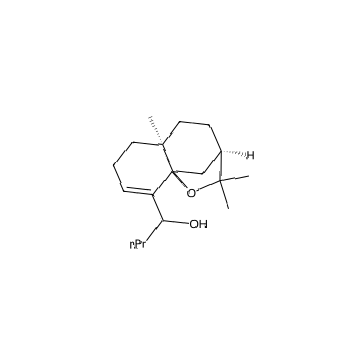 CCCC(O)C1=CCC[C@@]2(C)CC[C@@H]3CC12OC3(C)C